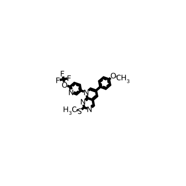 COc1ccc(C2=CN(c3ccc(OC(F)(F)F)nc3)C3=NC(SC)N=CC3=C2)cc1